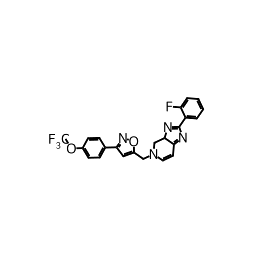 Fc1ccccc1C1=NC2CN(Cc3cc(-c4ccc(OC(F)(F)F)cc4)no3)C=CC2=N1